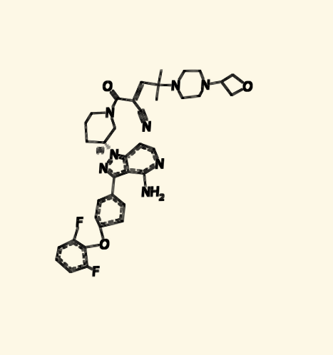 CC(C)(C=C(C#N)C(=O)N1CCC[C@@H](n2nc(-c3ccc(Oc4c(F)cccc4F)cc3)c3c(N)nccc32)C1)N1CCN(C2COC2)CC1